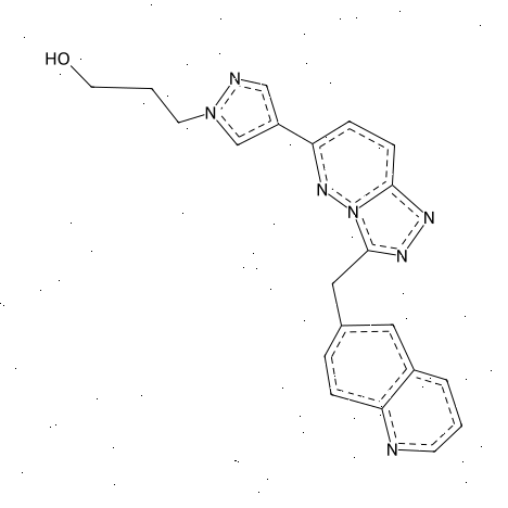 OCCCn1cc(-c2ccc3nnc(Cc4ccc5ncccc5c4)n3n2)cn1